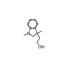 CN1CC(C)(CCO)c2ccccc21